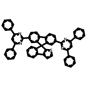 c1ccc(-c2cc(-c3ccccc3)nc(-c3ccc4c(c3)C3(c5cc(-c6nc(-c7ccccc7)cc(-c7ccccc7)n6)ccc5-4)c4ccccc4-c4ccsc43)n2)cc1